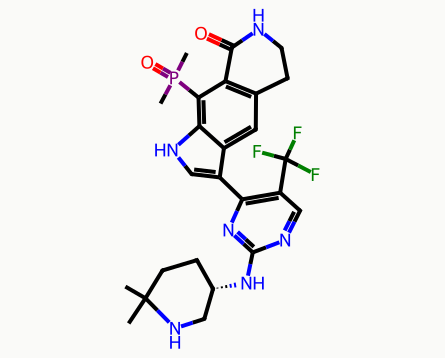 CC1(C)CC[C@H](Nc2ncc(C(F)(F)F)c(-c3c[nH]c4c(P(C)(C)=O)c5c(cc34)CCNC5=O)n2)CN1